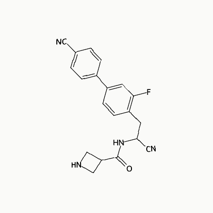 N#Cc1ccc(-c2ccc(CC(C#N)NC(=O)C3CNC3)c(F)c2)cc1